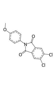 COc1ccc(N2C(=O)c3cc(Cl)c(Cl)cc3C2=O)cc1